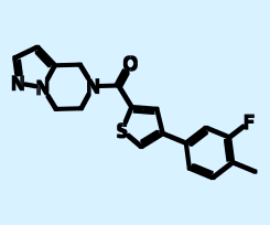 Cc1ccc(-c2csc(C(=O)N3CCn4nccc4C3)c2)cc1F